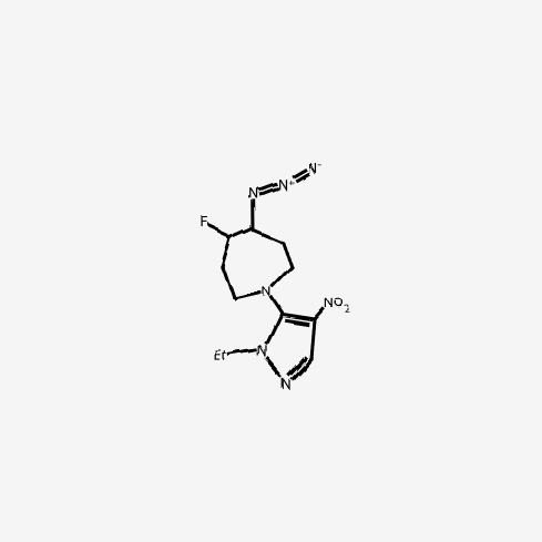 CCn1ncc([N+](=O)[O-])c1N1CCC(F)C(N=[N+]=[N-])CC1